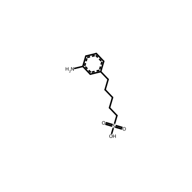 Nc1cccc(CCCCCS(=O)(=O)O)c1